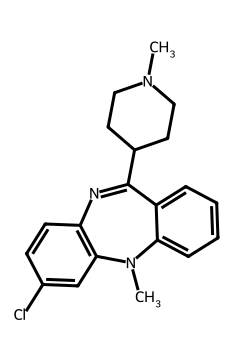 CN1CCC(C2=Nc3ccc(Cl)cc3N(C)c3ccccc32)CC1